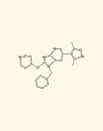 Cc1noc(C)c1-c1cnc2nc(Oc3ccncc3)n(Cc3ccccc3)c2c1